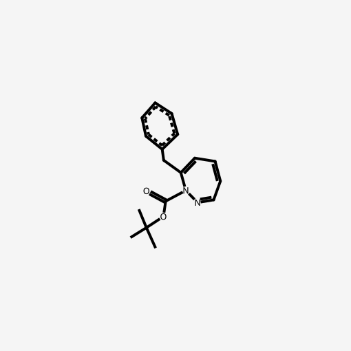 CC(C)(C)OC(=O)N1N=CC=CC=C1Cc1ccccc1